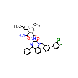 CCCC[C@H](C(N)=O)[C@@H](CC(C)C)C(=O)NC1N=C(c2ccccc2)c2ccccc2N(Cc2cccc(-c3ccc(F)c(Cl)c3)c2)C1=O